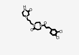 O=C1CN(CCCN2CCN(C(=O)C=Cc3ccc(Cl)c(Cl)c3)CCC2=O)CCN1